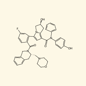 O=C(c1cc(-c2cc(F)ccc2C(=O)N2Cc3ccccc3C[C@H]2CN2CCOCC2)n2c1C[C@H](O)C2)N(c1ccccc1)c1ccc(O)cc1